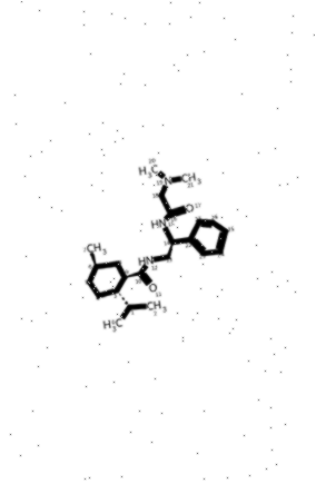 CC(C)[C@@H]1CC[C@@H](C)C[C@H]1C(=O)NC[C@@H](NC(=O)CN(C)C)c1ccccc1